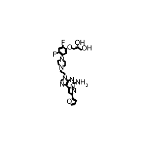 Nc1nc2c(ncn2CCN2CCN(c3cc(OC[C@@H](O)CO)c(F)cc3F)CC2)c2cc(-c3ccco3)nn12